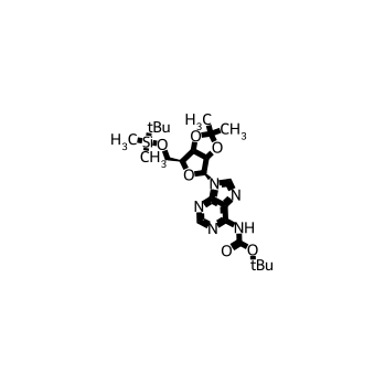 CC(C)(C)OC(=O)Nc1ncnc2c1ncn2[C@H]1O[C@@H](CO[Si](C)(C)C(C)(C)C)C2OC(C)(C)OC21